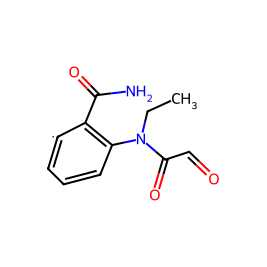 CCN(C(=O)C=O)c1ccc[c]c1C(N)=O